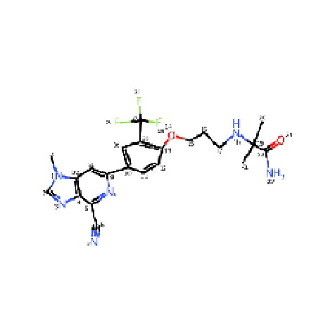 Cn1cnc2c(C#N)nc(-c3ccc(OCCCNC(C)(C)C(N)=O)c(C(F)(F)F)c3)cc21